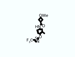 COC1CC(C(=O)Nc2ccc(Oc3ncc(C(F)(F)F)s3)c(C)c2)C1